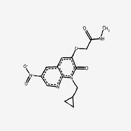 CNC(=O)COc1cc2cc([N+](=O)[O-])cnc2n(CC2CC2)c1=O